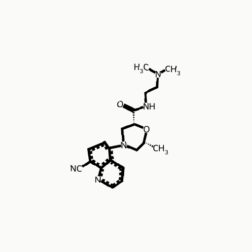 C[C@@H]1CN(c2ccc(C#N)c3ncccc23)C[C@H](C(=O)NCCN(C)C)O1